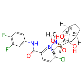 Cn1nccc1C(O)[C@@]1(O)[C@@H]2CC[C@H]1C[C@H](S(=O)(=O)c1cc(C(=O)Nc3ccc(F)c(F)c3)ccc1Cl)C2